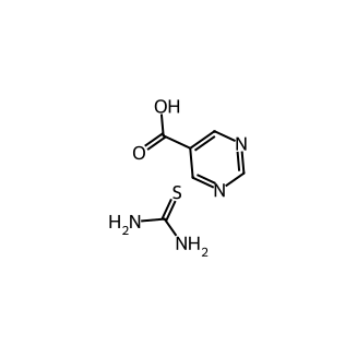 NC(N)=S.O=C(O)c1cncnc1